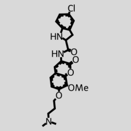 COc1c(OCCCN(C)C)ccc2cc(NC(=O)C3Cc4cc(Cl)ccc4N3)c(=O)oc12